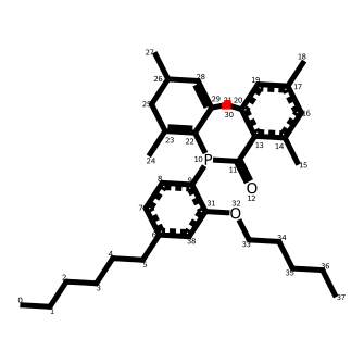 CCCCCCc1ccc(P(C(=O)c2c(C)cc(C)cc2C)C2=C(C)CC(C)C=C2C)c(OCCCCC)c1